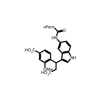 CCCCCC(=O)Nc1ccc2[nH]cc(C(CC(=O)O)c3ccc(C(=O)O)cc3OC)c2c1